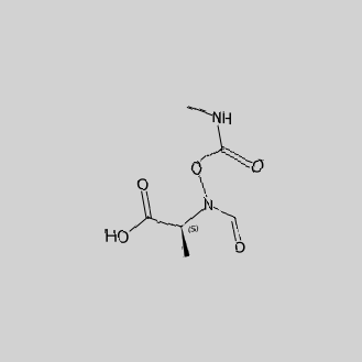 CNC(=O)ON(C=O)[C@@H](C)C(=O)O